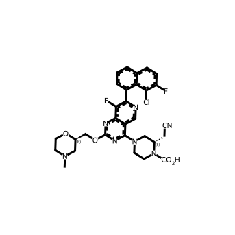 CN1CCO[C@@H](COc2nc(N3CCN(C(=O)O)[C@@H](CC#N)C3)c3cnc(-c4cccc5ccc(F)c(Cl)c45)c(F)c3n2)C1